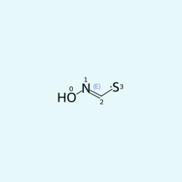 O/N=C/[S]